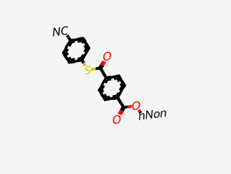 CCCCCCCCCOC(=O)c1ccc(C(=O)Sc2ccc(C#N)cc2)cc1